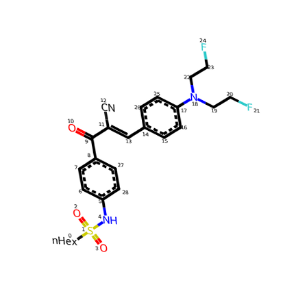 CCCCCCS(=O)(=O)Nc1ccc(C(=O)C(C#N)=Cc2ccc(N(CCF)CCF)cc2)cc1